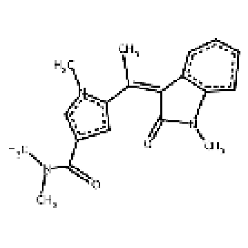 C/C(=C1/C(=O)N(C)c2ccccc21)c1cc(C(=O)N(C)C)cn1C